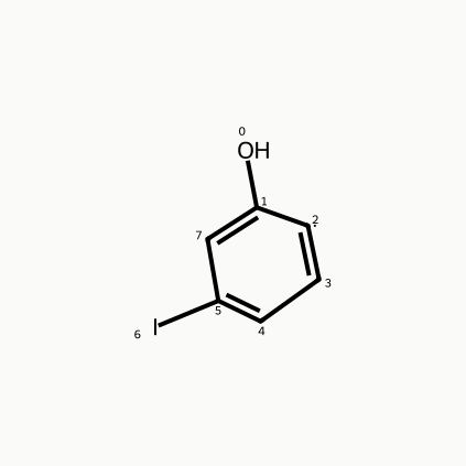 Oc1[c]ccc(I)c1